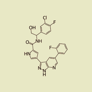 O=C(NC(CO)c1ccc(F)c(Cl)c1)c1cc(-c2n[nH]c3ncc(-c4ccccc4F)cc23)c[nH]1